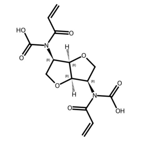 C=CC(=O)N(C(=O)O)[C@@H]1CO[C@H]2[C@@H]1OC[C@H]2N(C(=O)O)C(=O)C=C